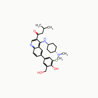 CC(C)CC(=O)c1cnc2ccc(-c3cc(Cl)c(O)c(CO)c3)cc2c1N[C@H]1CC[C@H](N(C)C)CC1